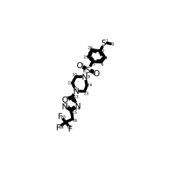 CSc1ccc(S(=O)(=O)N2CCN(c3nc(CC(F)(F)F)no3)CC2)cc1